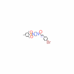 Cc1cc(C)c(S(=O)(=O)N2CCN(C(=O)/C=C/c3ccc(Br)cc3)CC2)c(C)c1